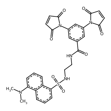 CN(C)c1cccc2c(S(=O)(=O)NCCNC(=O)c3cc(N4C(=O)C=CC4=O)cc(N4C(=O)C=CC4=O)c3)cccc12